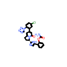 NC(=O)Oc1ccccc1-c1cnc([C@@H]2CCc3cc(-c4cc(Cl)ccc4-n4cnnn4)cc(=O)n32)[nH]1